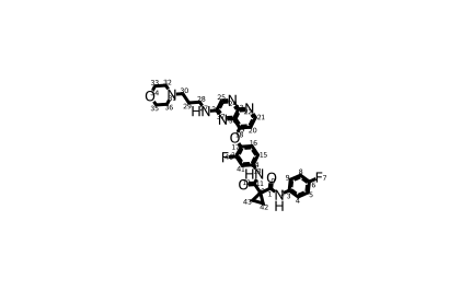 O=C(Nc1ccc(F)cc1)C1(C(=O)Nc2ccc(Oc3ccnc4ncc(NCCCN5CCOCC5)nc34)c(F)c2)CC1